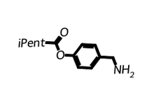 CCCC(C)C(=O)Oc1ccc(CN)cc1